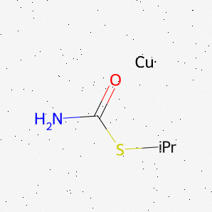 CC(C)SC(N)=O.[Cu]